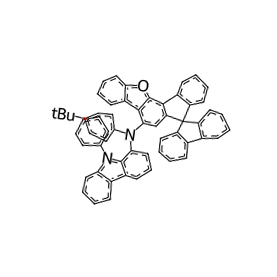 CC(C)(C)c1ccc(N(c2cc3c(c4oc5ccccc5c24)-c2ccccc2C32c3ccccc3-c3ccccc32)c2cccc3c4ccccc4n(-c4ccccc4)c23)cc1